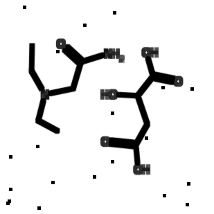 CCN(CC)CC(N)=O.O=C(O)CC(O)C(=O)O